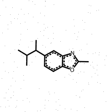 Cc1nc2cc(C(C)C(C)C)ccc2o1